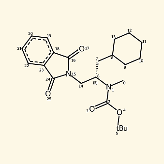 CN(C(=O)OC(C)(C)C)[C@@H](CC1CCCCC1)CN1C(=O)c2ccccc2C1=O